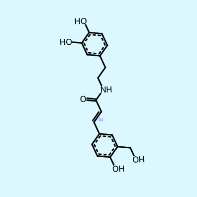 O=C(/C=C/c1ccc(O)c(CO)c1)NCCc1ccc(O)c(O)c1